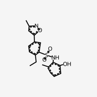 CCc1ccc(-c2cc(C)no2)cc1S(=O)(=O)Nc1c(C)cccc1O